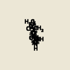 C=C(/C(Cl)=C(F)\C=C/C)C1CCN(C(=O)c2n[nH]c3c2CCNC3)CC1